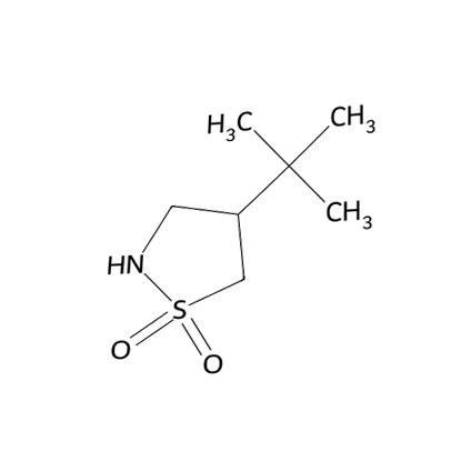 CC(C)(C)C1CNS(=O)(=O)C1